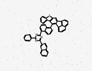 c1ccc(-c2nc(-c3ccc4ccccc4c3)nc(-c3cccc4c(-c5c6c(cc7sc8ccccc8c57)-c5cccc7cccc-6c57)cccc34)n2)cc1